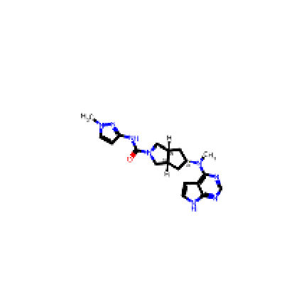 CN(c1ncnc2[nH]ccc12)[C@H]1C[C@@H]2CN(C(=O)Nc3ccn(C)n3)C[C@@H]2C1